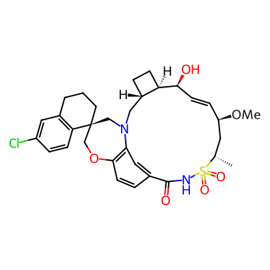 CO[C@@H]1/C=C/[C@H](O)[C@@H]2CC[C@H]2CN2C[C@@]3(CCCc4cc(Cl)ccc43)COc3ccc(cc32)C(=O)NS(=O)(=O)[C@@H](C)C1